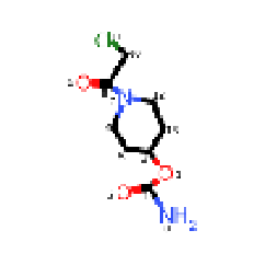 NC(=O)OC1CCN(C(=O)CCl)CC1